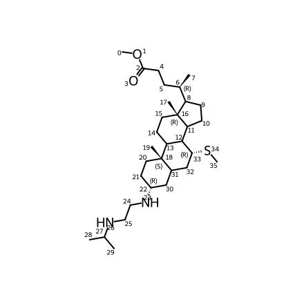 COC(=O)CC[C@@H](C)C1CCC2C3C(CC[C@@]21C)[C@@]1(C)CC[C@@H](NCCNC(C)C)CC1C[C@H]3SC